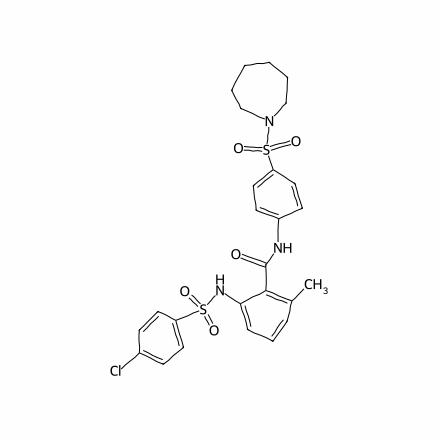 Cc1cccc(NS(=O)(=O)c2ccc(Cl)cc2)c1C(=O)Nc1ccc(S(=O)(=O)N2CCCCCC2)cc1